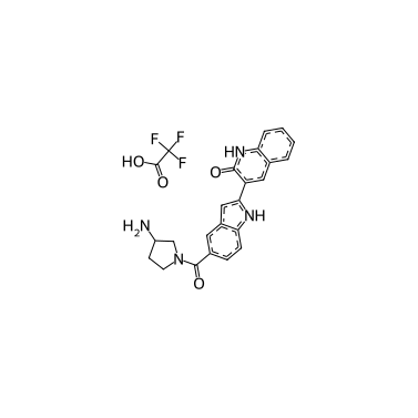 NC1CCN(C(=O)c2ccc3[nH]c(-c4cc5ccccc5[nH]c4=O)cc3c2)C1.O=C(O)C(F)(F)F